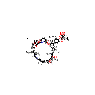 C=C1C[C@@H]([C@H](C)C[C@@H]2CC[C@@H](OC(=O)C(C)(CO)CO)[C@H](OC)C2)OC(=O)[C@@H]2CCCCN2C(=O)C(=O)[C@]2(O)O[C@@H](CC[C@H]2C)C[C@H](OC)/C(C)=C/C=C/C=C/[C@@H](C)C[C@@H](C)C(=O)[C@H](OC)[C@H](O)/C(C)=C/[C@H]1C